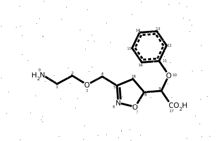 NCCOCC1=NOC(C(Oc2ccccc2)C(=O)O)C1